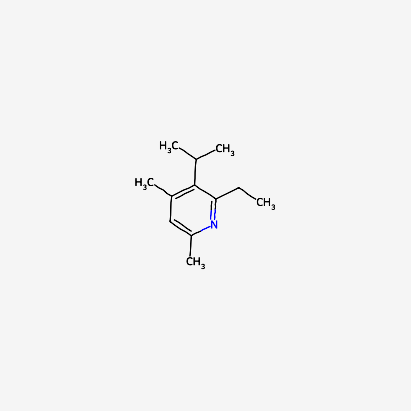 CCc1nc(C)cc(C)c1C(C)C